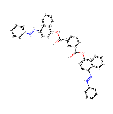 O=C(Oc1ccc(/N=N/c2ccccc2)c2ccccc12)c1cccc(C(=O)Oc2ccc(/N=N/c3ccccc3)c3ccccc23)c1